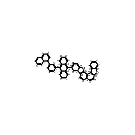 C1=CC2=CC=CC(c3cccc(-c4c5ccccc5c(-c5ccc6oc7c(ccc8ccc9oc%10ccccc%10c9c87)c6c5)c5ccccc45)c3)C2C=C1